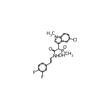 Cn1cc(C(C(=O)NC=Cc2ccc(F)c(F)c2)P(C)(=O)O)c2cc(Cl)ccc21